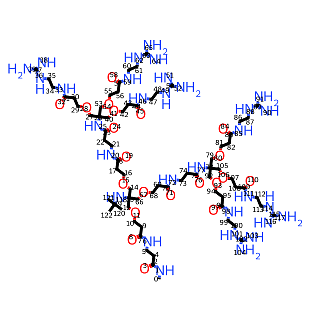 CNC(=O)CCNC(=O)CCOCC(COCCC(=O)NCCC(=O)NC(COCCC(=O)NCCNC(=N)N)(COCCC(=O)NCCNC(=N)N)COCCC(=O)NCCNC(=N)N)(COCCC(=O)NCCC(=O)NC(COCCC(=O)NCCNC(=N)N)(COCCC(=O)NCCNC(=N)N)COCCC(=O)NCCNC(=N)N)NC(C)(C)C